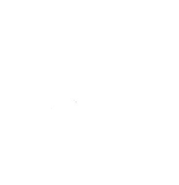 COC(=O)/C=C/c1ccccc1C(=O)N1CCC(F)(F)CC1